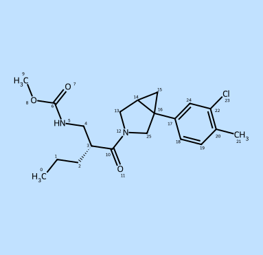 CCC[C@H](CNC(=O)OC)C(=O)N1CC2CC2(c2ccc(C)c(Cl)c2)C1